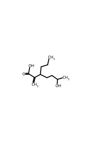 C=C(C(=O)O)C(CCC)CCC(C)O